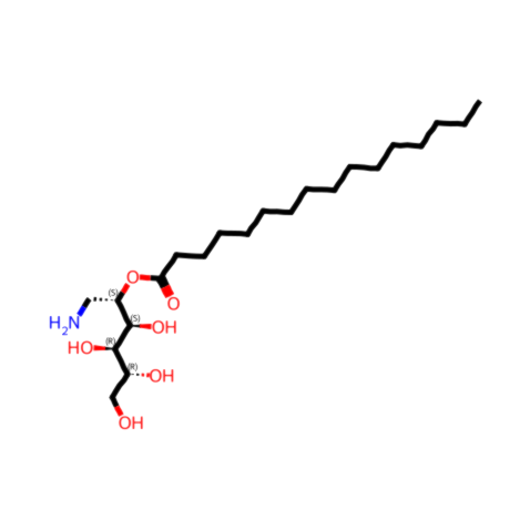 CCCCCCCCCCCCCCCC(=O)O[C@@H](CN)[C@@H](O)[C@H](O)[C@H](O)CO